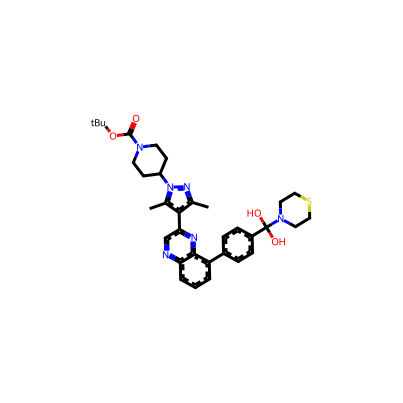 Cc1nn(C2CCN(C(=O)OC(C)(C)C)CC2)c(C)c1-c1cnc2cccc(-c3ccc(C(O)(O)N4CCSCC4)cc3)c2n1